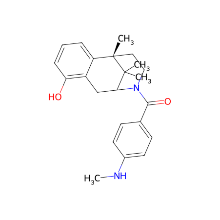 CNc1ccc(C(=O)N2CC[C@@]3(C)c4cccc(O)c4CC2C3(C)C)cc1